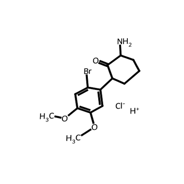 COc1cc(Br)c(C2CCCC(N)C2=O)cc1OC.[Cl-].[H+]